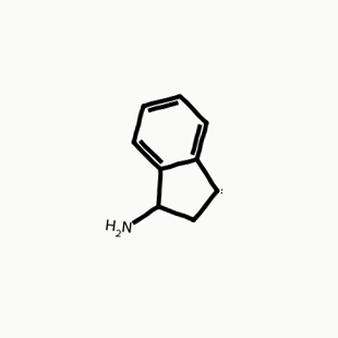 NC1C[C]c2ccccc21